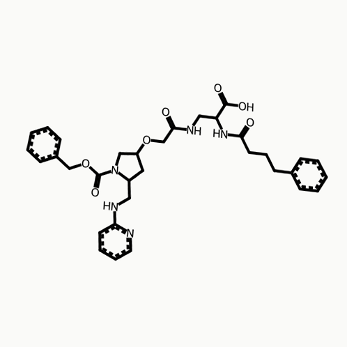 O=C(COC1CC(CNc2ccccn2)N(C(=O)OCc2ccccc2)C1)NCC(NC(=O)CCCc1ccccc1)C(=O)O